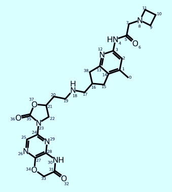 Cc1cc(NC(=O)CN2CCC2)nc2c1CC(CNCCC1CN(c3cnc4c(n3)NC(=O)CO4)C(=O)O1)C2